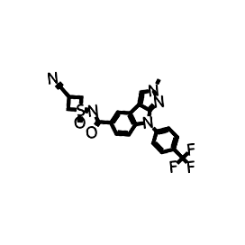 Cn1cc2c3cc(C(=O)N=S4(=O)CC(C#N)C4)ccc3n(-c3ccc(C(F)(F)F)cc3)c2n1